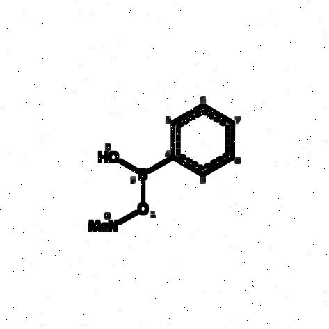 CNOB(O)c1ccccc1